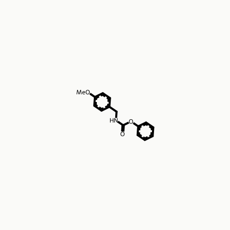 COc1ccc(CNC(=O)Oc2ccccc2)cc1